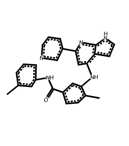 Cc1cccc(NC(=O)c2ccc(C)c(Nc3cc(-c4cccnc4)nc4[nH]ccc34)c2)c1